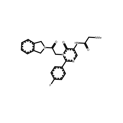 CNCC(=O)Nc1cnc(-c2ccc(F)cc2)n(CC(=O)N2Cc3ccccc3C2)c1=O